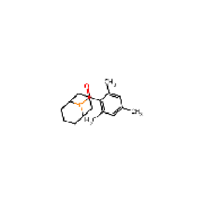 Cc1cc(C)c(C(=O)P2C3CCCC2CCC3)c(C)c1